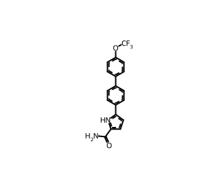 NC(=O)c1ccc(-c2ccc(-c3ccc(OC(F)(F)F)cc3)cc2)[nH]1